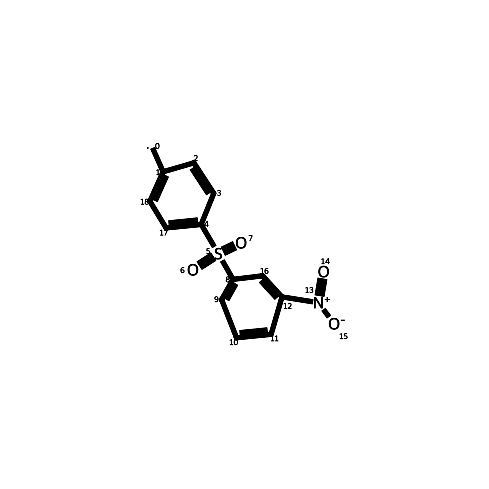 [CH2]c1ccc(S(=O)(=O)c2cccc([N+](=O)[O-])c2)cc1